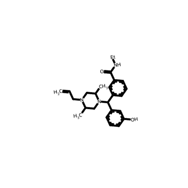 C=CCN1CC(C)N(C(c2cccc(O)c2)c2cccc(C(=O)NCC)c2)CC1C